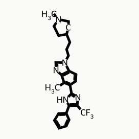 Cc1c(-c2nc(C(F)(F)F)c(-c3ccccc3)[nH]2)ccc2c1ncn2CCCC1CCN(C)CC1